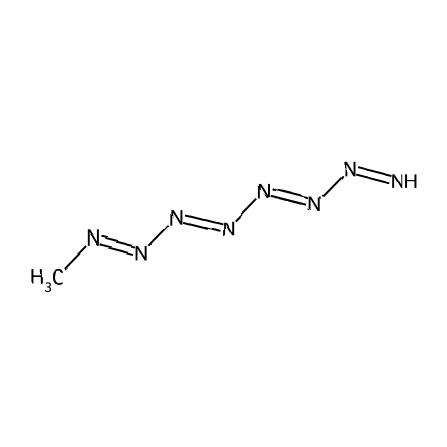 CN=NN=NN=NN=N